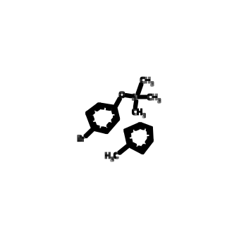 C[Si](C)(C)Oc1ccc(Br)cc1.Cc1ccccc1